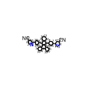 N#Cc1ccnc(-c2ccc(-c3c4ccccc4c(-c4ccc(-c5cc(C#N)ccn5)cc4)c4c5ccccc5c5ccccc5c34)cc2)c1